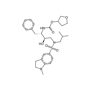 CB1CCc2cc(S(=O)(=O)N(CC(C)C)C[C@@H](O)[C@H](Cc3ccccc3)NC(=O)OC3CCOC3)ccc21